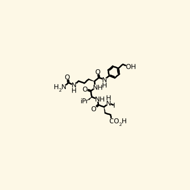 CC(C)[C@H](NC(=O)[C@H](CCC(=O)O)NI)C(=O)N[C@@H](CCCNC(N)=O)C(=O)Nc1ccc(CO)cc1